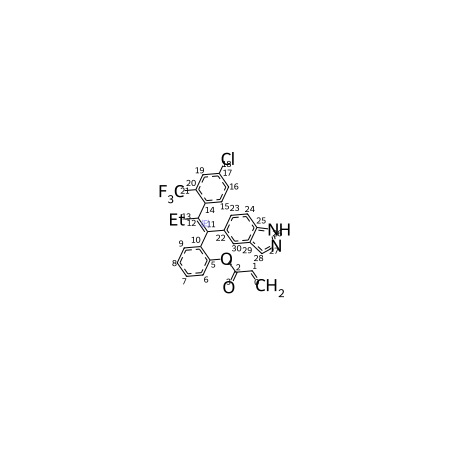 C=CC(=O)Oc1ccccc1/C(=C(\CC)c1ccc(Cl)cc1C(F)(F)F)c1ccc2[nH]ncc2c1